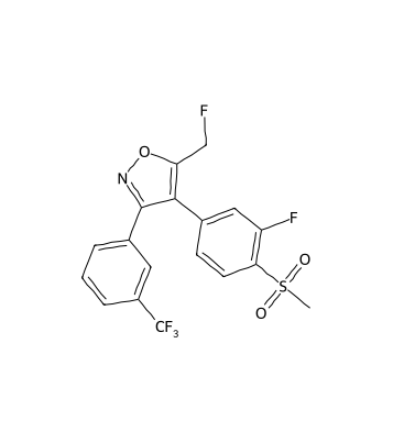 CS(=O)(=O)c1ccc(-c2c(-c3cccc(C(F)(F)F)c3)noc2CF)cc1F